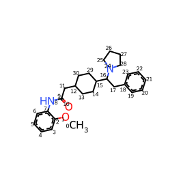 COc1ccccc1NC(=O)CC1CCC(C(Cc2ccccc2)N2CCCC2)CC1